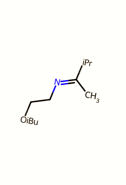 C/C(=N\CCOCC(C)C)C(C)C